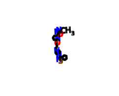 Cc1nnc(-c2cccc(OCCCN3CCN(c4nsc5ccccc45)CC3)n2)o1